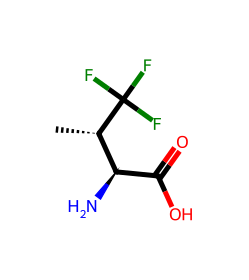 C[C@@H]([C@H](N)C(=O)O)C(F)(F)F